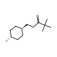 CC(C)(C)C(=O)OC[C@H]1CC[C@H](C)CC1